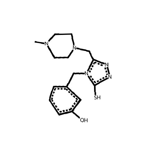 CN1CCN(Cc2nnc(S)n2Cc2cccc(O)c2)CC1